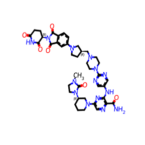 CN1CCN([C@@H]2CCCN(c3cnc(C(N)=O)c(Nc4cnc(N5CCN(C[C@H]6CCN(c7ccc8c(c7)C(=O)N([C@@H]7CCC(=O)NC7=O)C8=O)C6)CC5)nc4)n3)C2)C1=O